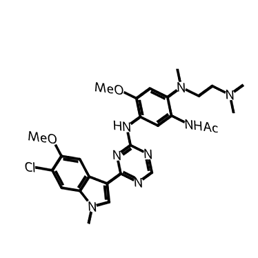 COc1cc2c(-c3ncnc(Nc4cc(NC(C)=O)c(N(C)CCN(C)C)cc4OC)n3)cn(C)c2cc1Cl